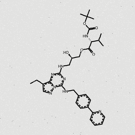 CCc1cnn2c(NCc3ccc(-c4ccccn4)cc3)nc(NC[C@@H](O)COC(=O)[C@H](NC(=O)OC(C)(C)C)C(C)C)nc12